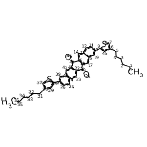 CCCCCCc1csc(-c2ccc3cc4c(cc3c2)C(=O)c2cc3ccc(-c5cc(CCCCCC)cs5)cc3cc2C4=O)c1